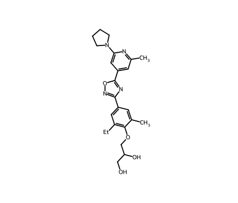 CCc1cc(-c2noc(-c3cc(C)nc(N4CCCC4)c3)n2)cc(C)c1OCC(O)CO